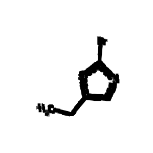 [CH2]Cc1cnc(Br)s1